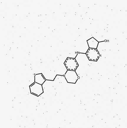 OC1CCc2c(Nc3ccc4c(c3)OCCN4CCC3=CSC4=CC=CCC34)ccnc21